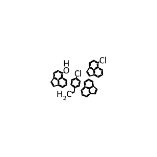 C1=Cc2cccc3cccc1c23.C=Cc1ccc(Cl)cc1.Clc1ccc2c3c(cccc13)C=C2.Oc1ccc2c3c(cccc13)C=C2